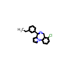 CCc1cccc(C2=NCc3c(Cl)cccc3-n3cccc32)c1